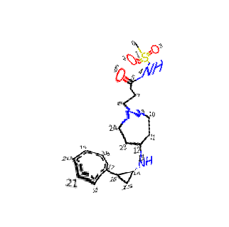 CS(=O)(=O)NC(=O)CCN1CCC(N[C@@H]2CC2c2ccccc2)CC1